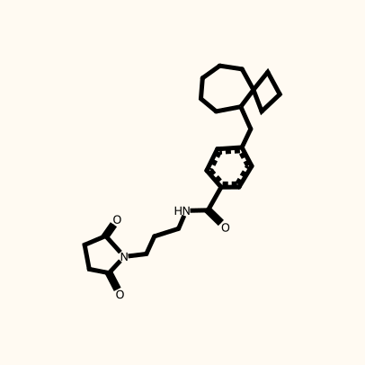 O=C(NCCCN1C(=O)CCC1=O)c1ccc(CC2CCCCCC23CCC3)cc1